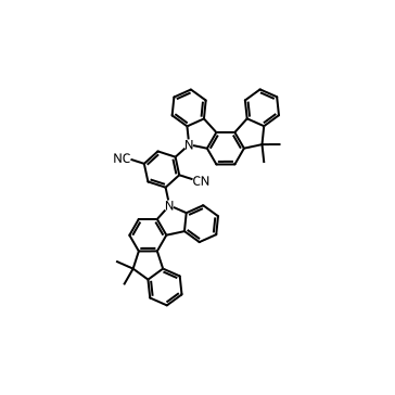 CC1(C)c2ccccc2-c2c1ccc1c2c2ccccc2n1-c1cc(C#N)cc(-n2c3ccccc3c3c4c(ccc32)C(C)(C)c2ccccc2-4)c1C#N